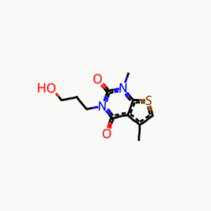 Cc1csc2c1c(=O)n(CCCO)c(=O)n2C